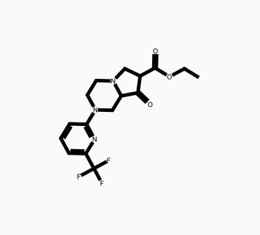 CCOC(=O)C1CN2CCN(c3cccc(C(F)(F)F)n3)CC2C1=O